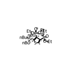 CCC[CH2][Sn]([CH2]CCC)([CH2]CCC)[c]1scc(P(=O)(OCC)OCC)c1P(=O)(OCC)OCC